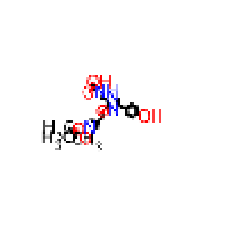 CC(C)(C)OC(=O)N1CC(COc2nc(-c3ccc(O)cc3)cnc2CNC(=O)O)C1